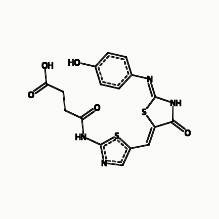 O=C(O)CCC(=O)Nc1ncc(C=C2SC(=Nc3ccc(O)cc3)NC2=O)s1